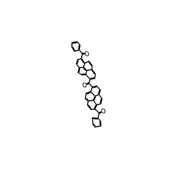 O=C(c1ccccc1)c1ccc2ccc3c(C(=O)c4ccc5ccc6c(C(=O)c7ccccc7)ccc7ccc4c5c76)ccc4ccc1c2c43